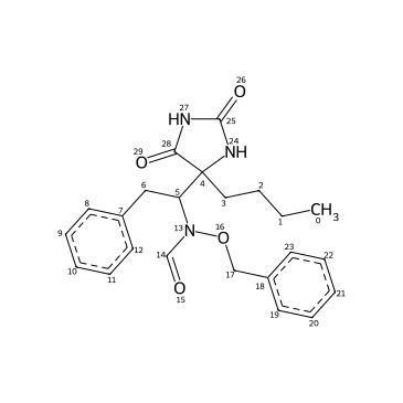 CCCCC1(C(Cc2ccccc2)N(C=O)OCc2ccccc2)NC(=O)NC1=O